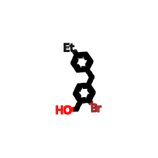 CCc1ccc(Cc2ccc(CO)c(Br)c2)cc1